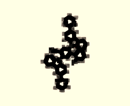 N#Cc1cc(-n2c3ccccc3c3cc(-c4ncccn4)ccc32)c(-c2c(F)cccc2F)cc1-n1c2ccccc2c2cc(-c3ncccn3)ccc21